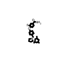 CC1=CC(C)([C@@H]2CCCN2Cc2ccc(Oc3ccc(C(N)=O)cc3F)cc2)CC(C)=C1